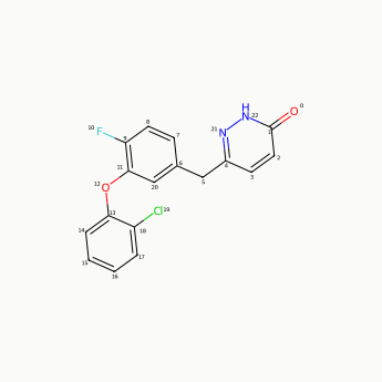 O=c1ccc(Cc2ccc(F)c(Oc3ccccc3Cl)c2)n[nH]1